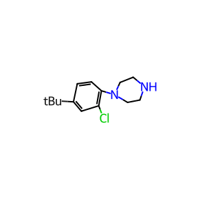 CC(C)(C)c1ccc(N2CCNCC2)c(Cl)c1